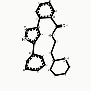 O=C(NCCC1CCCCN1)c1ccccc1-c1cc(-c2ccccc2)[nH]n1